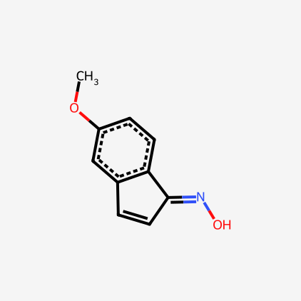 COc1ccc2c(c1)C=CC2=NO